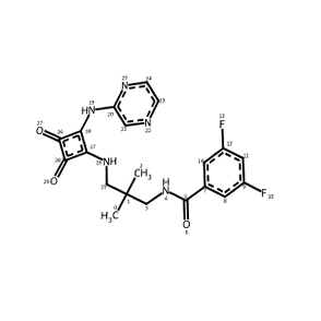 CC(C)(CNC(=O)c1cc(F)cc(F)c1)CNc1c(Nc2cnccn2)c(=O)c1=O